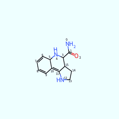 NC(=O)C1NC2C=CC=CC2=C2NCCC21